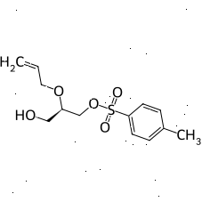 C=CCO[C@H](CO)COS(=O)(=O)c1ccc(C)cc1